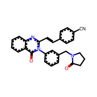 N#Cc1ccc(/C=C/c2nc3ccccc3c(=O)n2-c2cccc(CN3CCCC3=O)c2)cc1